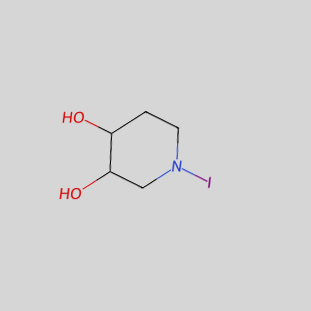 OC1CCN(I)CC1O